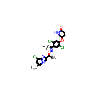 CCC(C)C(O/N=C(\C)c1cc(Cl)c(OC2CCC(=O)NC2)cc1Cl)c1cn2cc(C(F)(F)F)cc(Cl)c2n1